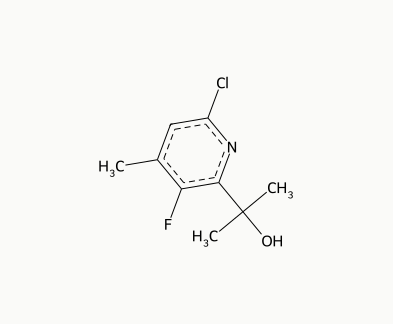 Cc1cc(Cl)nc(C(C)(C)O)c1F